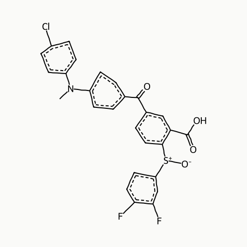 CN(c1ccc(Cl)cc1)c1ccc(C(=O)c2ccc([S+]([O-])c3ccc(F)c(F)c3)c(C(=O)O)c2)cc1